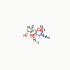 CC(=O)N(C)CC(C)C(O)C(C)C(O)CO